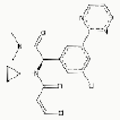 CN(C)C(=O)[C@@H](c1cc(Cl)cc(-c2ncccn2)c1)N(C(=O)/C=C\Cl)C1CC1